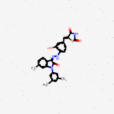 Cc1cc(C)cc(N2C(=O)/C(=N\Nc3ccc(/C=C4\SC(=O)NC4=O)cc3O)c3ccc(C(F)(F)F)cc32)c1